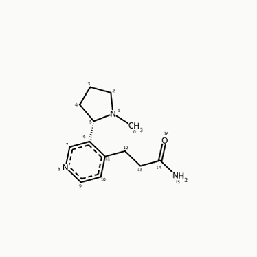 CN1CCC[C@H]1c1cnccc1CCC(N)=O